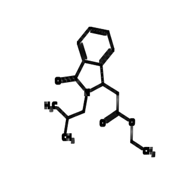 CCOC(=O)CC1c2ccccc2C(=O)N1CC(C)C